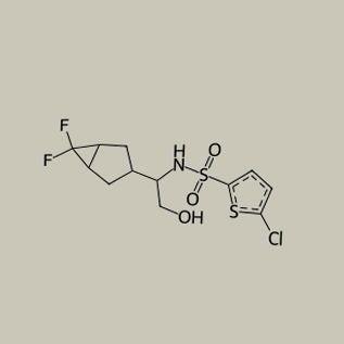 O=S(=O)(NC(CO)C1CC2C(C1)C2(F)F)c1ccc(Cl)s1